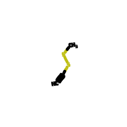 C#CSSC